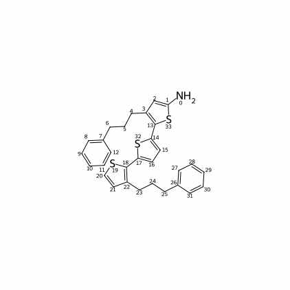 Nc1cc(CCCc2ccccc2)c(-c2ccc(-c3sccc3CCCc3ccccc3)s2)s1